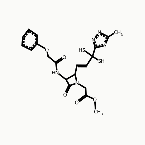 COC(=O)CN1C(=O)C(NC(=O)COc2ccccc2)C1C=CC(S)(S)c1nnc(C)s1